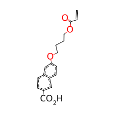 C=CC(=O)OCCCCOc1ccc2cc(C(=O)O)ccc2c1